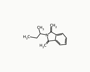 C=c1c2ccccc2c(=C)n1C(C)CC